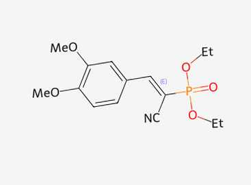 CCOP(=O)(OCC)/C(C#N)=C/c1ccc(OC)c(OC)c1